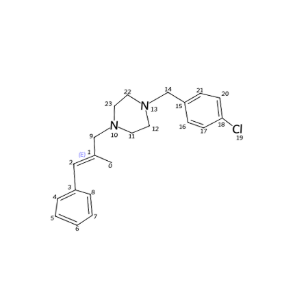 C/C(=C\c1ccccc1)CN1CCN(Cc2ccc(Cl)cc2)CC1